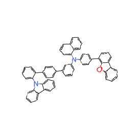 c1cc(-c2ccc(-c3ccccc3-n3c4ccccc4c4ccccc43)cc2)cc(N(c2ccc(-c3cccc4c3oc3ccccc34)cc2)c2cccc3ccccc23)c1